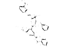 COc1cccc(CNC[C@@H](O)[C@H](Cc2ccccc2)NC(=O)c2cc(OS(C)(=O)=O)cc(C(=O)N[C@H](C)c3ccccc3)c2)c1